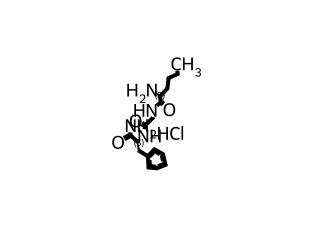 CCCC[C@@H](N)C(=O)NCC(=O)N[C@@H](Cc1ccccc1)C(N)=O.Cl